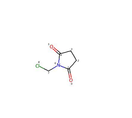 O=C1CCC(=O)N1CCl